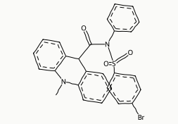 CN1c2ccccc2C(C(=O)N(c2ccccc2)S(=O)(=O)c2ccc(Br)cc2)c2ccccc21